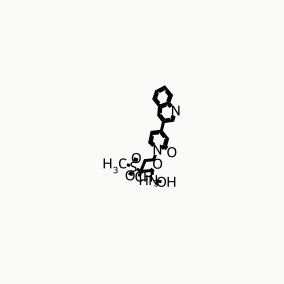 CC(CCn1ccc(-c2cnc3ccccc3c2)cc1=O)(C(=O)NO)S(C)(=O)=O